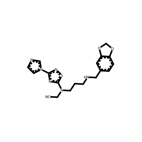 N#CCN(CCCNCc1ccc2c(c1)OCO2)c1nc(-n2ccnc2)ns1